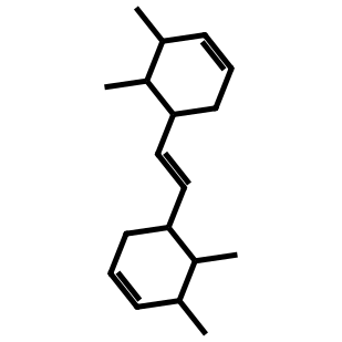 CC1C=CCC(/C=C/C2CC=CC(C)C2C)C1C